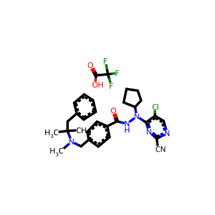 CN(Cc1ccc(C(=O)NN(c2nc(C#N)ncc2Cl)C2CCCC2)cc1)C(C)(C)Cc1ccccc1.O=C(O)C(F)(F)F